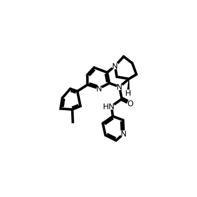 Cc1cccc(-c2ccc3c(n2)N(C(=O)Nc2cccnc2)[C@H]2CCCN3C2)c1